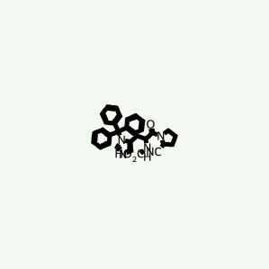 N#CC1CCCN1C(=O)C(Cc1cncn1C(c1ccccc1)(c1ccccc1)c1ccccc1)NC(=O)O